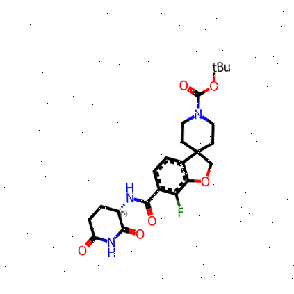 CC(C)(C)OC(=O)N1CCC2(CC1)COc1c2ccc(C(=O)N[C@H]2CCC(=O)NC2=O)c1F